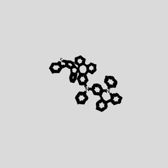 c1ccc(N(c2ccc3c(c2)-c2ccccc2-c2ccccc2N3c2ccccc2)c2ccc3c(c2)-c2ccccc2-c2ccccc2C32c3ccccc3-c3c2ccc2sc4ccccc4c32)cc1